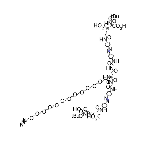 CC(C)(C)OC(=O)N[C@@H](C[C@H](CCCC(=O)Nc1ccc(/N=N/c2ccc(NC(=O)CNC(=O)CC[C@@H](NC(=O)CCOCCOCCOCCOCCOCCOCCOCCOCCOCCOCCOCCOCCN=[N+]=[N-])C(=O)NCC(=O)Nc3ccc(/N=N/c4ccc(NC(=O)CCC[C@@H](C[C@H](NC(=O)OC(C)(C)C)C(=O)O)C(=O)O)cc4)cc3)cc2)cc1)C(=O)O)C(=O)O